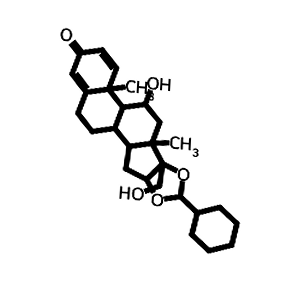 CC12C=CC(=O)C=C1CCC1C2C(O)CC2(C)C1CC1OC(C3CCCCC3)OC12CO